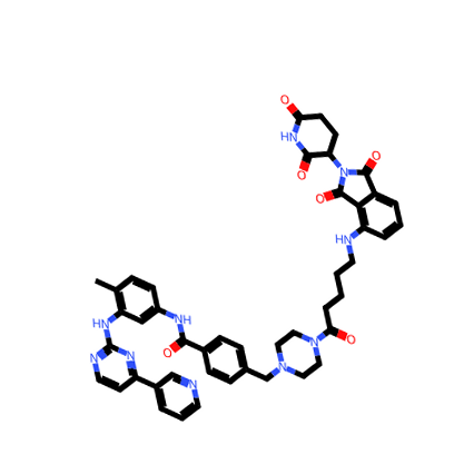 Cc1ccc(NC(=O)c2ccc(CN3CCN(C(=O)CCCCNc4cccc5c4C(=O)N(C4CCC(=O)NC4=O)C5=O)CC3)cc2)cc1Nc1nccc(-c2cccnc2)n1